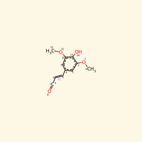 COc1cc(/C=C/[C+]=O)cc(OC)c1O